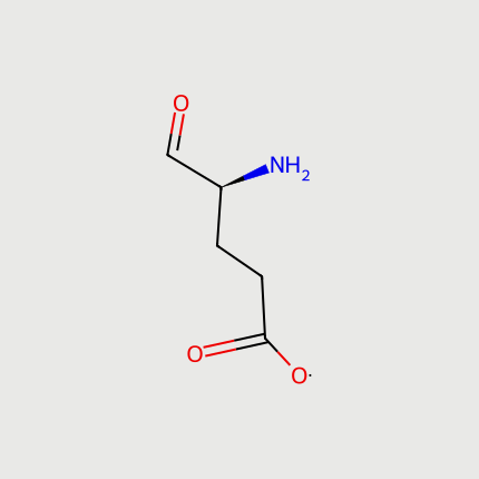 N[C@H](C=O)CCC([O])=O